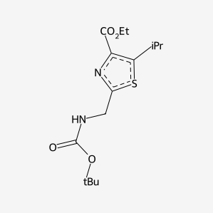 CCOC(=O)c1nc(CNC(=O)OC(C)(C)C)sc1C(C)C